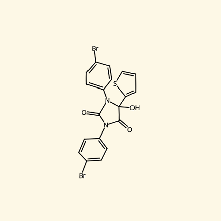 O=C1N(c2ccc(Br)cc2)C(=O)C(O)(c2cccs2)N1c1ccc(Br)cc1